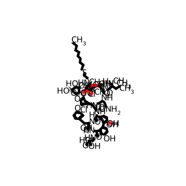 CCCCCCCCCCSCCN[C@@]1(C)C[C@H](O[C@H]2[C@H](Oc3c4cc5cc3Oc3ccc(cc3Cl)C(O)C3NC(=O)C(NC(=O)C5NC(=O)C(CC(N)=O)NC(=O)C(NC(=O)C(CC(C)C)NC)C(O)c5ccc(c(Cl)c5)O4)c4ccc(O)c(c4)-c4c(O)cc(O)cc4C(C(=O)NCP(=O)(O)O)NC3=O)O[C@H](CO)[C@@H](O)[C@@H]2O)O[C@@H](C)[C@H]1O